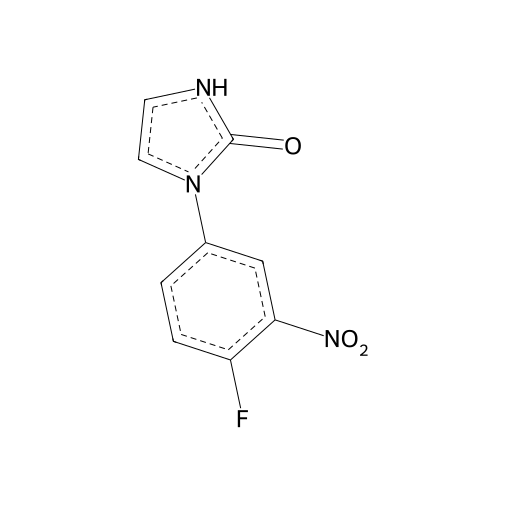 O=c1[nH]ccn1-c1ccc(F)c([N+](=O)[O-])c1